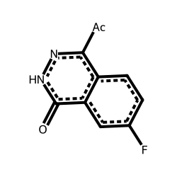 CC(=O)c1n[nH]c(=O)c2cc(F)ccc12